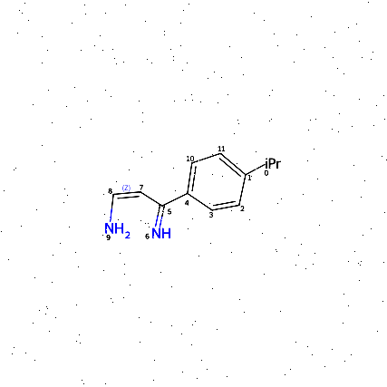 CC(C)c1ccc(C(=N)/C=C\N)cc1